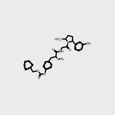 CC(=O)SC(Cc1ccc(OC(=O)OCc2ccccc2)cc1)C(=O)NCC(=O)N1C(C(=O)O)CCC1c1cccc(O)c1